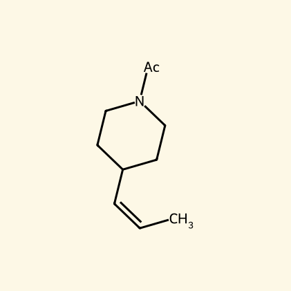 C/C=C\C1CCN(C(C)=O)CC1